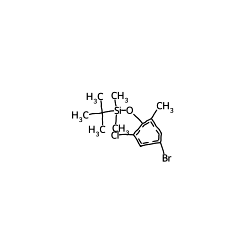 Cc1cc(Br)cc(Cl)c1O[Si](C)(C)C(C)(C)C